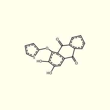 O=C1c2ccccc2C(=O)c2c1cc(O)c(O)c2Oc1cccs1